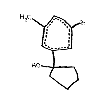 Cc1cc(Br)cc(C2(O)CCCC2)c1